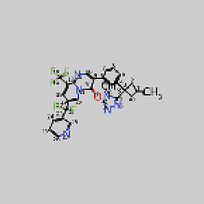 CC1CC(c2cccc(-c3cnc4c(C(F)(F)F)cc(C(F)(F)c5cccnc5)cn4c3=O)c2)(c2nncn2C)C1